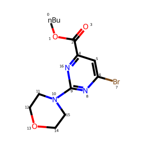 CCCCOC(=O)c1cc(Br)nc(N2CCOCC2)n1